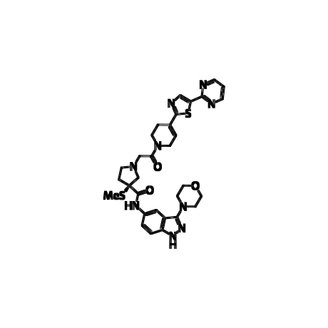 CS[C@@]1(C(=O)Nc2ccc3[nH]nc(N4CCOCC4)c3c2)CCN(CC(=O)N2CC=C(c3ncc(-c4ncccn4)s3)CC2)C1